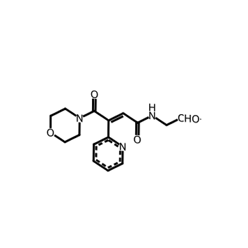 O=[C]CNC(=O)C=C(C(=O)N1CCOCC1)c1ccccn1